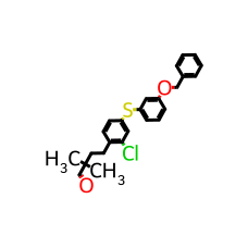 CC(C)(C=O)CCc1ccc(Sc2cccc(OCc3ccccc3)c2)cc1Cl